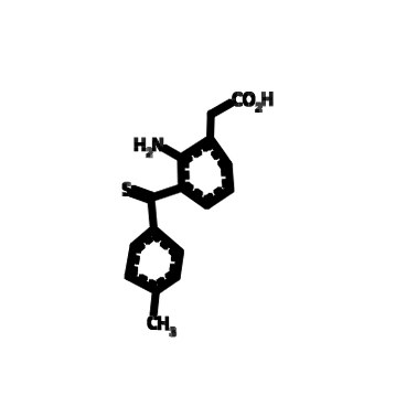 Cc1ccc(C(=S)c2cccc(CC(=O)O)c2N)cc1